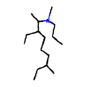 CCCN(C)C(C)C(CC)CCCC(C)CC